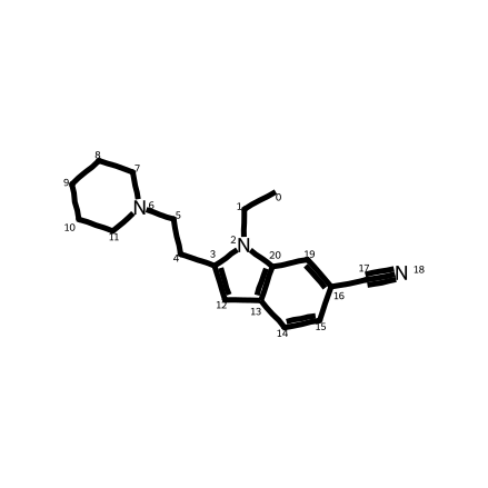 CCn1c(CCN2CCCCC2)cc2ccc(C#N)cc21